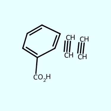 C#C.C#C.O=C(O)c1ccccc1